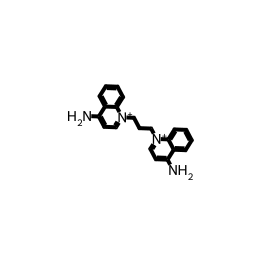 Nc1cc[n+](CCC[n+]2ccc(N)c3ccccc32)c2ccccc12